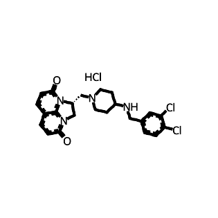 Cl.O=c1ccc2ccc(=O)n3c2n1C[C@H]3CN1CCC(NCc2ccc(Cl)c(Cl)c2)CC1